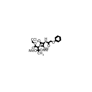 COC(C)(OC)C(C(=O)OCC(Cl)(Cl)Cl)N1C(=O)C(NC(=O)COc2ccccc2)C1S